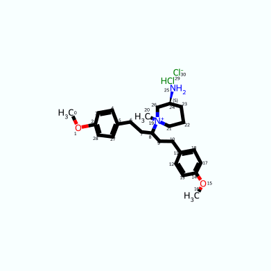 COc1ccc(CCC(CCc2ccc(OC)cc2)[N+]2(C)CCC[C@H](N)C2)cc1.Cl.[Cl-]